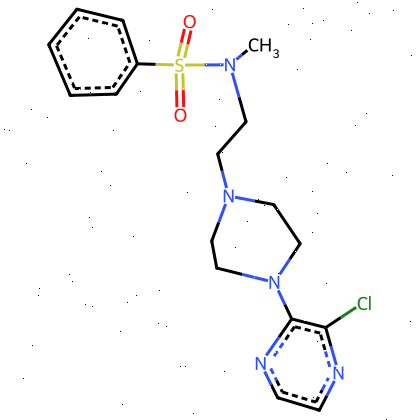 CN(CCN1CCN(c2nccnc2Cl)CC1)S(=O)(=O)c1ccccc1